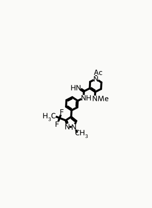 CNC1=C(C(=N)Nc2cccc(-c3cn(C)nc3C(C)(F)F)c2)CN(C(C)=O)CC1